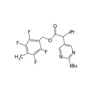 Cc1c(F)c(F)c(COC(=O)C(c2cnc(C(C)(C)C)nc2)C(C)C)c(F)c1F